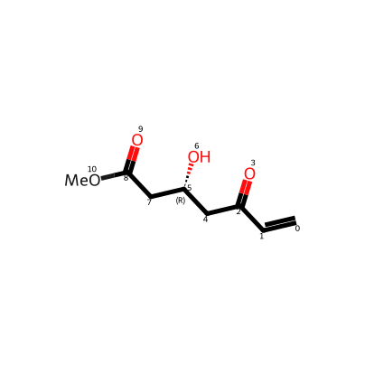 C=CC(=O)C[C@@H](O)CC(=O)OC